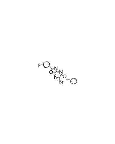 Fc1cccc(-c2nc3nc(OCc4ccccc4)c(Br)nc3o2)c1